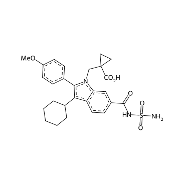 COc1ccc(-c2c(C3CCCCC3)c3ccc(C(=O)NS(N)(=O)=O)cc3n2CC2(C(=O)O)CC2)cc1